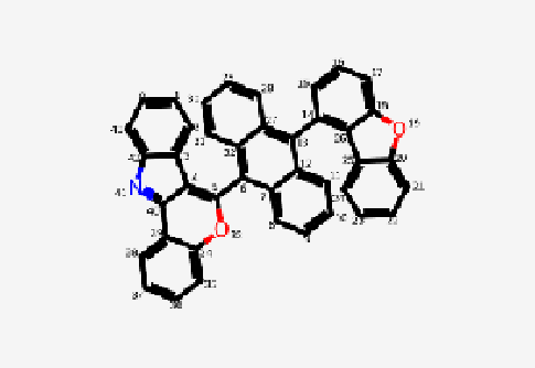 c1ccc2c3c(-c4c5ccccc5c(-c5cccc6oc7ccccc7c56)c5ccccc45)oc4ccccc4c-3nc2c1